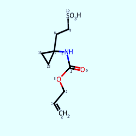 C=CCOC(=O)NC1([CH]CS(=O)(=O)O)CC1